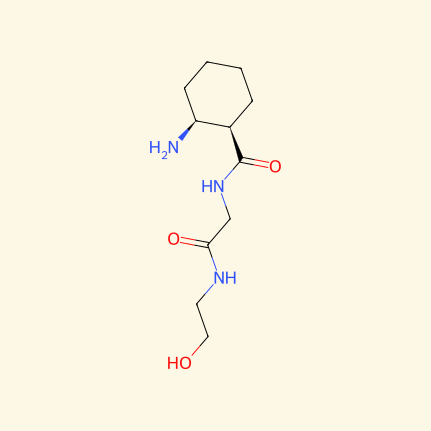 N[C@H]1CCCC[C@H]1C(=O)NCC(=O)NCCO